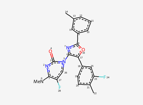 CNc1nc(=O)n(-c2nc(-c3cccc(C)c3)oc2-c2ccc(C)c(F)c2)cc1F